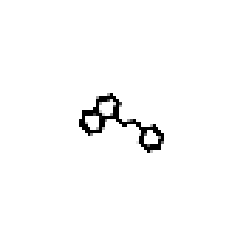 [c]1ccc(CCc2cccc3ccccc23)cc1